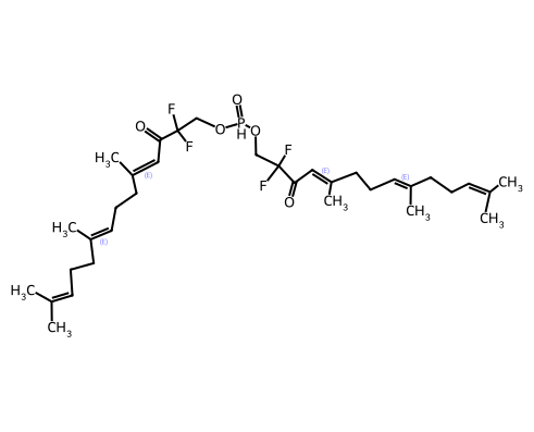 CC(C)=CCC/C(C)=C/CC/C(C)=C/C(=O)C(F)(F)CO[PH](=O)OCC(F)(F)C(=O)/C=C(\C)CC/C=C(\C)CCC=C(C)C